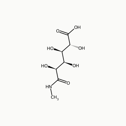 CNC(=O)[C@@H](O)[C@H](O)[C@@H](O)[C@@H](O)C(=O)O